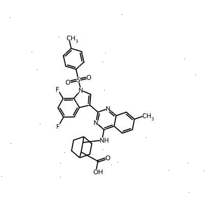 Cc1ccc(S(=O)(=O)n2cc(-c3nc(NC4C5CCC(CC5)C4C(=O)O)c4ccc(C)cc4n3)c3cc(F)cc(F)c32)cc1